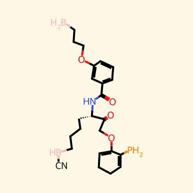 BCCCOc1cccc(C(=O)N[C@@H](CCCCBC#N)C(=O)COC2=CCCC=C2P)c1